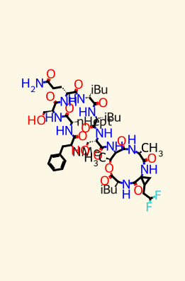 CCCCCCC[C@H](NC(=O)[C@@H](Cc1ccccc1)NC)C(=O)N[C@@H](CO)C(=O)N[C@H](CCC(N)=O)C(=O)N[C@@H](C(=O)N[C@H](C(=O)N[C@@H](CO)C(=O)N[C@H]1C(=O)N[C@@H](C)C(=O)NC2(CC2CC(F)F)C(=O)N[C@@H](C(C)CC)C(=O)O[C@H]1C)[C@@H](C)CC)[C@@H](C)CC